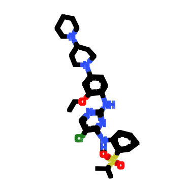 CCOc1cc(N2CCC(N3CCCCC3)CC2)ccc1Nc1ncc(Cl)c(Nc2ccccc2S(=O)(=O)C(C)C)n1